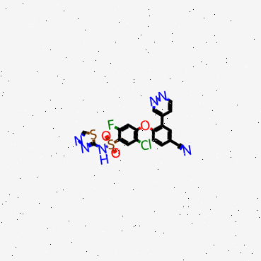 N#Cc1ccc(Oc2cc(F)c(S(=O)(=O)Nc3nncs3)cc2Cl)c(-c2ccnnc2)c1